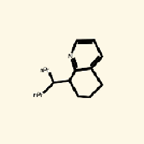 CCCC(CCC)C1CCCc2cccnc21